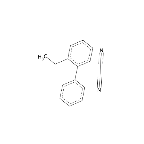 CCc1ccccc1-c1ccccc1.N#CC#N